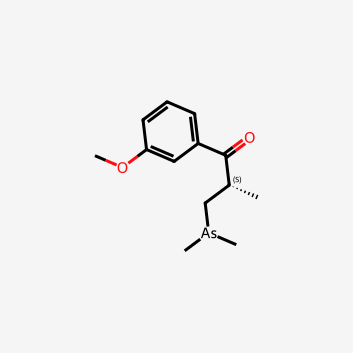 COc1cccc(C(=O)[C@H](C)C[As](C)C)c1